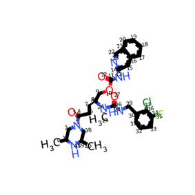 CC1CN(C(=O)CC[C@@H](COC(=O)Nc2cc3ccccc3cn2)N(C)C(=O)NCc2cccc(F)c2Cl)CC(C)N1